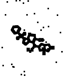 CN(c1c(C#N)cnc2c1ccn2S(=O)(=O)c1ccccc1)C1CC2CNC[C@H]2C1